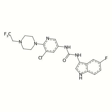 O=C(Nc1cnc(N2CCN(CC(F)(F)F)CC2)c(Cl)c1)Nc1c[nH]c2ccc(F)cc12